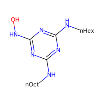 CCCCCCCCNc1nc(NO)nc(NCCCCCC)n1